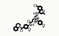 COc1ccc(S(=O)(=O)N(CCNc2cc(C)nc3ccc(Cl)cc23)CCC(=O)Nc2ccc(C(=O)N3CCCc4ccccc43)cc2OC)cc1